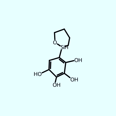 Oc1cc([SiH]2CCCCO2)c(O)c(O)c1O